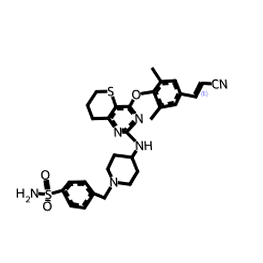 Cc1cc(/C=C/C#N)cc(C)c1Oc1nc(NC2CCN(Cc3ccc(S(N)(=O)=O)cc3)CC2)nc2c1SCCC2